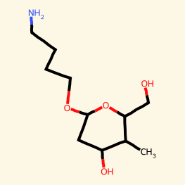 CC1C(O)CC(OCCCCN)OC1CO